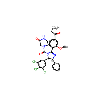 CC(C)(C)Oc1cc(C(=O)CC(=O)O)ccc1C1=N[C@@H](c2ccccc2)[C@@H](c2cc(Cl)c(Cl)c(Cl)c2)N1C(=O)N1CCNC(=O)C1